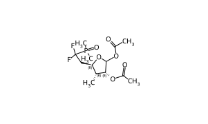 CC(=O)OC1O[C@H](CC(F)(F)P(C)(C)=O)[C@@H](C)[C@H]1OC(C)=O